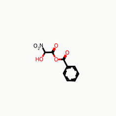 O=C(OC(=O)C(O)[N+](=O)[O-])c1ccccc1